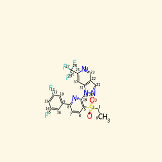 CCS(=O)(=O)c1ccc(-c2cc(F)cc(F)c2)nc1-n1ncc2cnc(C(F)(F)F)cc21